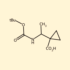 CC(NC(=O)OC(C)(C)C)C1(C(=O)O)CC1